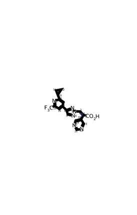 O=C(O)/C(=C/n1ncc(-c2cc(C3CC3)nc(C(F)(F)F)c2)n1)c1cncnc1